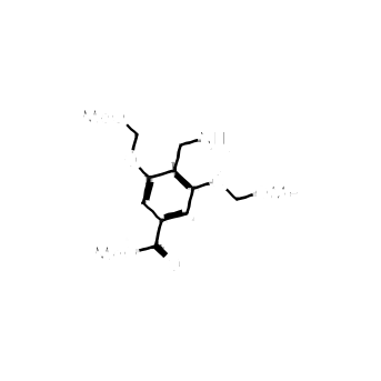 COCOc1cc(C(=O)OC)cc(OCOC)c1CN